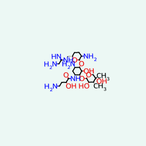 C[C@@H]1C(O)[C@@H](OC2C(O)C(O[C@H]3O[C@H](CNC(=N)CN)CCC3N)[C@@H](N)C[C@H]2NC(=O)[C@@H](O)CCN)OCC1(C)O